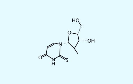 CC1[C@@H](O)[C@@H](CO)O[C@H]1n1ccc(=O)[nH]c1=S